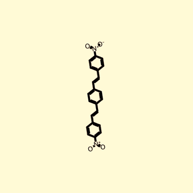 O=[N+]([O-])c1ccc(/C=C/c2ccc(/C=C/c3ccc([N+](=O)[O-])cc3)cc2)cc1